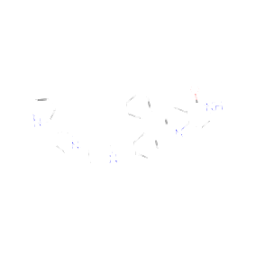 O=c1[nH]ccc2nc(-c3ccc(CN4CCC(N5C=CC(c6ccccn6)C5)CC4)cc3)c(-c3ccccc3)cc12